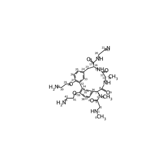 CNCC(=O)N(C)[C@@H]1C(=O)N[C@@H](C)C(=O)N[C@H](C(=O)NCC#N)Cc2ccc(OCCN)c(c2)-c2cc1ccc2OCCN